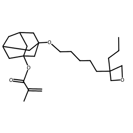 C=C(C)C(=O)OC12CC3CC(CC(OCCCCCC4(CCC)COC4)(C3)C1)C2